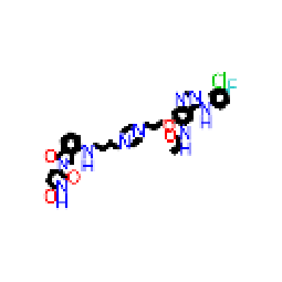 C=CC(=O)Nc1cc2c(Nc3ccc(F)c(Cl)c3)ncnc2cc1OCCCN1CCN(CCCCNc2cccc3c2CN(C2CCC(=O)NC2=O)C3=O)CC1